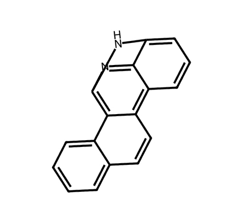 c1ccc2c(c1)ccc1c3cccc4[nH]c(nc43)c21